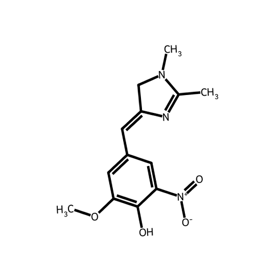 COc1cc(C=C2CN(C)C(C)=N2)cc([N+](=O)[O-])c1O